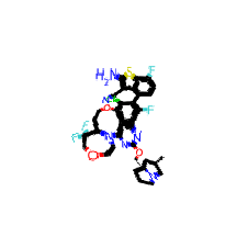 C[C@H]1CN2CCC[C@@]2(COc2nc3c4c(c(Cl)c(-c5ccc(F)c6sc(N)c(C#N)c56)c(F)c4n2)OCCC2N3CCOCC2(F)F)C1